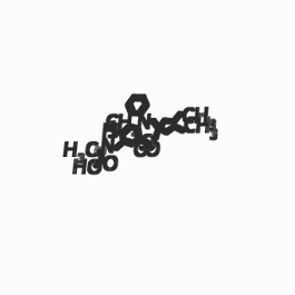 CCCCC1(CCCC)CN(c2ccccc2)c2cc(SC)c(CN[C@@H](C)C(=O)O)cc2S(=O)(=O)C1